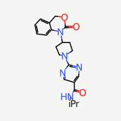 CC(C)NC(=O)c1cnc(N2CCC(N3C(=O)OCc4ccccc43)CC2)nc1